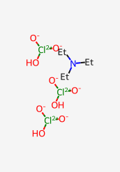 CCN(CC)CC.[O-][Cl+2]([O-])O.[O-][Cl+2]([O-])O.[O-][Cl+2]([O-])O